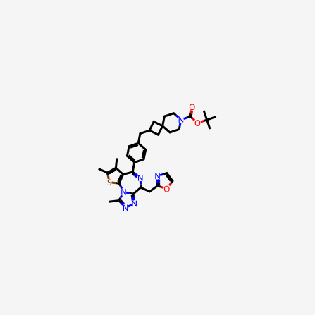 Cc1sc2c(c1C)C(c1ccc(CC3CC4(CCN(C(=O)OC(C)(C)C)CC4)C3)cc1)=NC(Cc1ncco1)c1nnc(C)n1-2